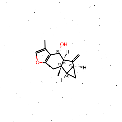 C=C1[C@H]2C[C@H]2[C@]2(C)Cc3occ(C)c3[C@H](O)[C@@H]12